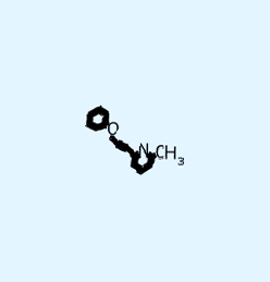 Cc1cccc(C#CCOc2ccccc2)n1